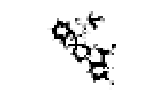 COC(=O)c1nc(Br)cnc1N1CCC2(CC1)Oc1ccccc1[C@H]2N[S@+]([O-])C(C)(C)C